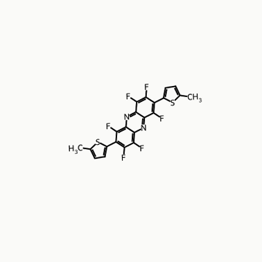 Cc1ccc(-c2c(F)c(F)c3nc4c(F)c(-c5ccc(C)s5)c(F)c(F)c4nc3c2F)s1